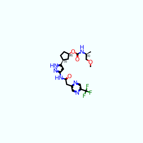 COC[C@H](C)NC(=O)O[C@@H]1CC[C@H](c2cc(NC(=O)Cc3cnc(C(F)(F)F)cn3)n[nH]2)C1